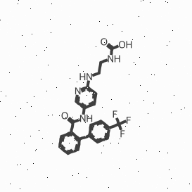 O=C(O)NCCNc1ccc(NC(=O)c2ccccc2-c2ccc(C(F)(F)F)cc2)cn1